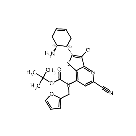 CC(C)(C)OC(=O)N(Cc1ccco1)c1cc(C#N)nc2c(Cl)c([C@H]3CC=CC[C@@H]3N)sc12